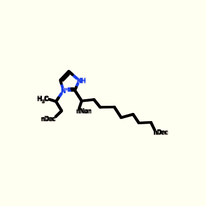 CCCCCCCCCCCCCCCCCC(CCCCCCCCC)c1[nH]cc[n+]1C(C)CCCCCCCCCCC